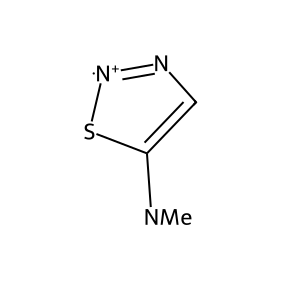 CNC1=CN=[N+]S1